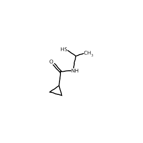 CC(S)NC(=O)C1CC1